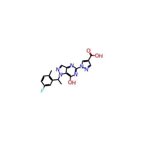 Cc1ccc(F)cc1C(C)n1ncc2nc(-n3cc(C(=O)O)cn3)nc(O)c21